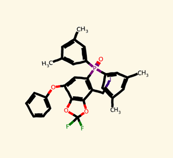 Cc1cc(C)cc(P(=O)(c2cc(C)cc(C)c2)c2cc(Oc3ccccc3)c3c(c2CI)OC(F)(F)O3)c1